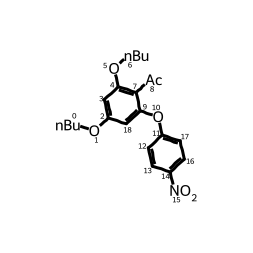 CCCCOc1cc(OCCCC)c(C(C)=O)c(Oc2ccc([N+](=O)[O-])cc2)c1